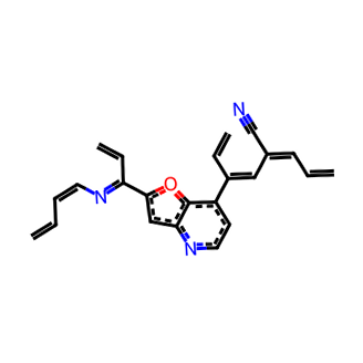 C=C/C=C\N=C(/C=C)c1cc2nccc(/C(C=C)=C/C(C#N)=C\C=C)c2o1